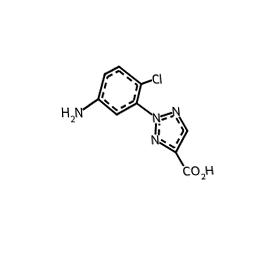 Nc1ccc(Cl)c(-n2ncc(C(=O)O)n2)c1